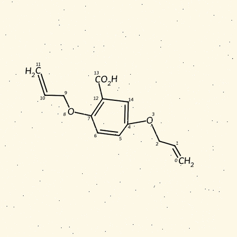 C=CCOc1ccc(OCC=C)c(C(=O)O)c1